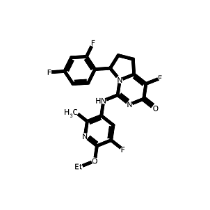 CCOc1nc(C)c(Nc2nc(=O)c(F)c3n2C(c2ccc(F)cc2F)CC3)cc1F